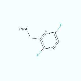 CCCC(C)Cc1cc(F)ccc1F